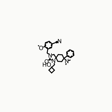 COc1ccc(C#N)cc1CN1CC2(CCC(c3ccccc3)(N(C)C)CC2)N(CC2(O)CCC2)C1=O